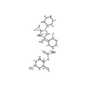 Cc1ccc(NC(=O)Cn2ncc(Cl)cc2=O)cc1S(=O)(=O)NC1(Cc2ccccn2)CC1